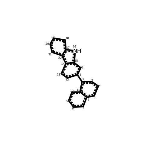 [c]1c(-c2cccc3ccccc23)ccc2c1[nH]c1ccccc12